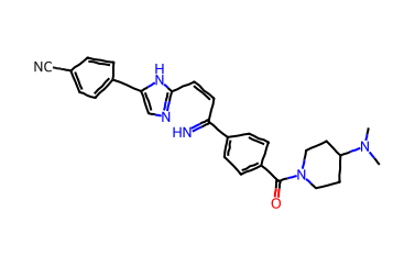 CN(C)C1CCN(C(=O)c2ccc(C(=N)/C=C\c3ncc(-c4ccc(C#N)cc4)[nH]3)cc2)CC1